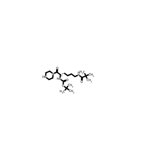 CC(C)(C)OC(=O)N[C@@H](CCCCNC(=O)C(C)(C)C)C(=O)N1CCNCC1